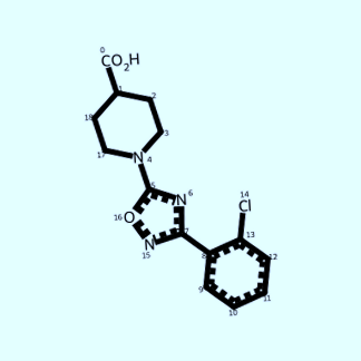 O=C(O)C1CCN(c2nc(-c3ccccc3Cl)no2)CC1